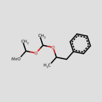 COC(C)OC(C)OC(C)Cc1ccccc1